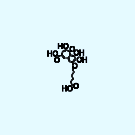 O=C(O)CCCCCOc1cc2cc(C(=O)O)cc(O)c(=O)c2c(O)c1O